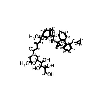 CCCN(CC(O)C(O)C(O)C(O)CO)C(=O)CCCC(C)c1ccc(C)c(CNC2(c3cnccc3-c3ccccc3OC3CC3)CC2)c1